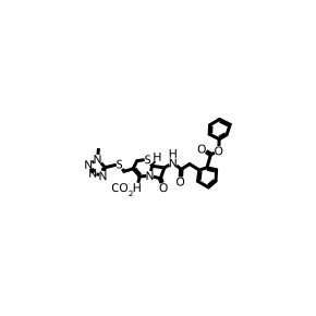 Cn1nnnc1SCC1=C(C(=O)O)N2C(=O)C(NC(=O)Cc3ccccc3C(=O)Oc3ccccc3)[C@H]2SC1